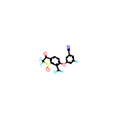 N#Cc1cc(F)cc(Oc2ccc3c(c2C(F)F)[S+]([O-])C(F)(F)C3=O)c1